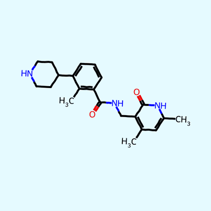 Cc1cc(C)c(CNC(=O)c2cccc(C3CCNCC3)c2C)c(=O)[nH]1